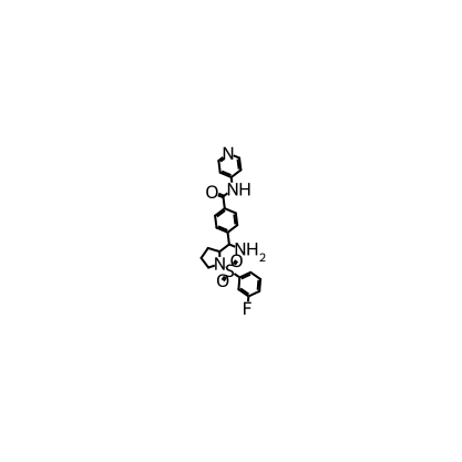 NC(c1ccc(C(=O)Nc2ccncc2)cc1)C1CCCN1S(=O)(=O)c1cccc(F)c1